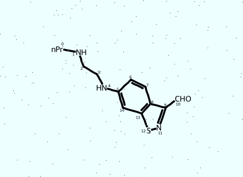 CCCNCCNc1ccc2c(C=O)nsc2c1